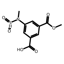 COC(=O)c1cc(C(=O)O)cc(N(C)[SH](=O)=O)c1